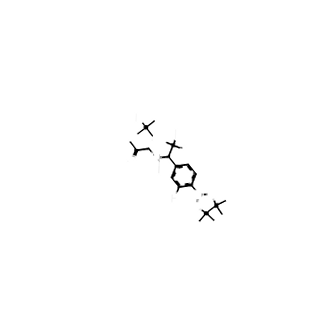 CC(=O)[C@H](CC(C)(C)F)NC(c1ccc(B2OC(C)(C)C(C)(C)O2)c(F)c1)C(F)(F)F